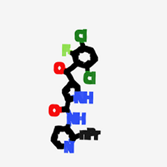 CCCc1ncccc1NC(=O)c1cc(C(=O)c2c(Cl)ccc(Cl)c2F)c[nH]1